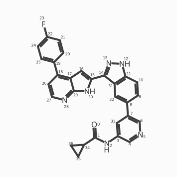 O=C(Nc1cncc(-c2ccc3[nH]nc(-c4cc5c(-c6ccc(F)cc6)ccnc5[nH]4)c3c2)c1)C1CC1